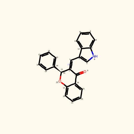 O=C1/C(=C\c2c[nH]c3ccccc23)[C@H](c2ccccc2)Oc2ccccc21